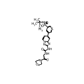 CC(C)(C)NS(=O)(=O)c1cncc(-c2ccn3nc(NC(=O)NCC(=O)N4CCOCC4)nc3c2)c1